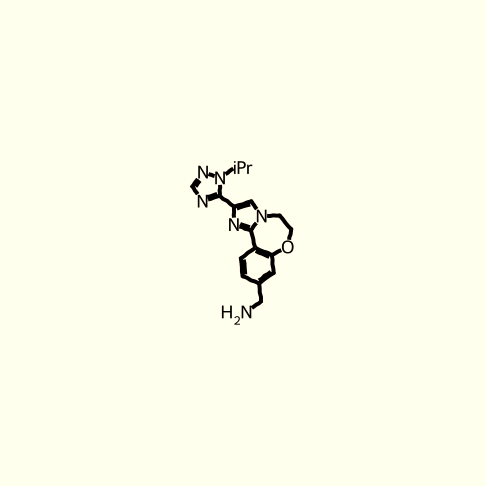 CC(C)n1ncnc1-c1cn2c(n1)-c1ccc(CN)cc1OCC2